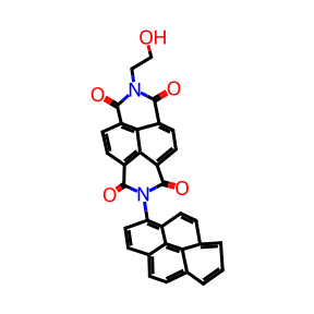 O=C1c2ccc3c4c(ccc(c24)C(=O)N1CCO)C(=O)N(c1ccc2ccc4cccc5ccc1c2c45)C3=O